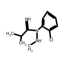 CNN(C(=N)C(C)C)c1ccccc1Cl